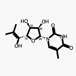 CC(C)=C(O)[C@H]1O[C@@H](n2cc(C)c(=O)[nH]c2=O)[C@H](O)[C@@H]1O